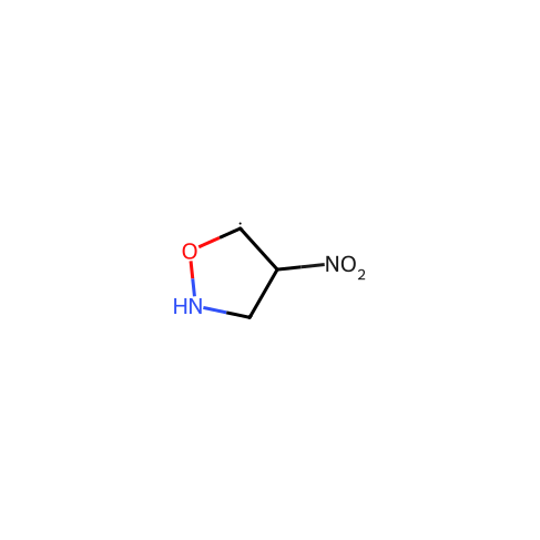 O=[N+]([O-])C1[CH]ONC1